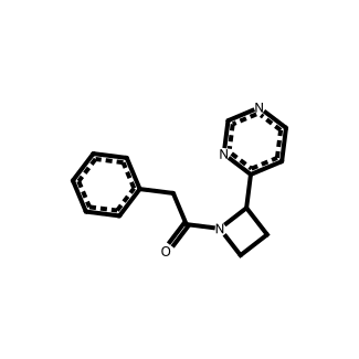 O=C(Cc1ccccc1)N1CCC1c1ccncn1